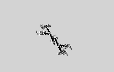 CC(C)(C)[Si](C)(C)OCCCCN(CCCCO[Si](C)(C)C(C)(C)C)CCCCC1NC(=O)C(CCCCN(CCCCO[Si](C)(C)C(C)(C)C)CCCCO[Si](C)(C)C(C)(C)C)NC1=O